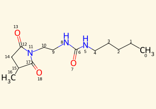 CCCCCNC(=O)NCCN1C(=O)CC(C)C1=O